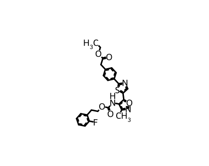 CCOC(=O)Cc1ccc(-c2ncc(-c3onc(C)c3NC(=O)OCCc3ccccc3F)s2)cc1